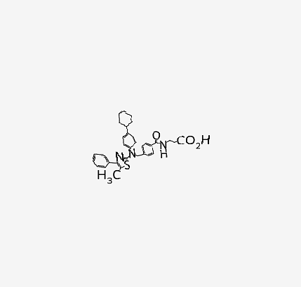 Cc1sc(N(Cc2ccc(C(=O)NCCC(=O)O)cc2)c2ccc(C3CCCCC3)cc2)nc1-c1ccccc1